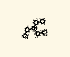 c1ccc(-c2cccc(-c3cc(-c4cccc(-c5cncnc5)c4)nc(-c4cccc(-c5cncnc5)c4)n3)c2)cc1